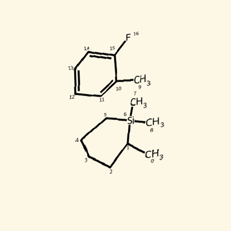 CC1CCCC[Si]1(C)C.Cc1ccccc1F